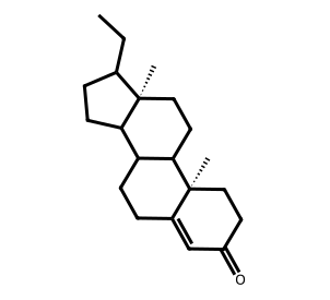 CCC1CCC2C3CCC4=CC(=O)CC[C@]4(C)C3CC[C@]12C